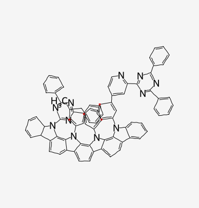 CC1C=C(n2c3c4c(ccc3c3ccc5c6ccc7c8ccccc8n(-c8cccc(-c9ccnc(-c%10nc(-c%11ccccc%11)nc(-c%11ccccc%11)n%10)c9)c8)c7c6n(-c6ccccc6)c5c32)C2C=CC=CC2N4c2nc(-c3ccccc3)nc(-c3ccccc3)n2)C=CC1